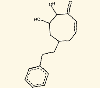 O=C1/C=C\CC(CCc2ccccc2)CC(O)C1O